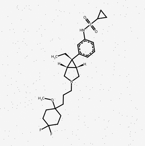 CC[C@@]1(c2cccc(NS(=O)(=O)C3CC3)c2)[C@@H]2CN(CCCC3(OC)CCC(F)(F)CC3)C[C@@H]21